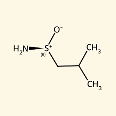 CC(C)C[S@@+](N)[O-]